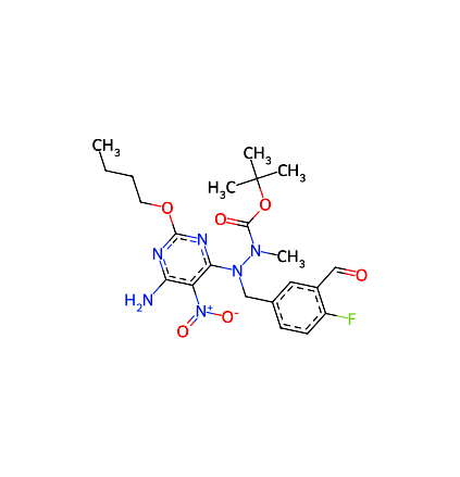 CCCCOc1nc(N)c([N+](=O)[O-])c(N(Cc2ccc(F)c(C=O)c2)N(C)C(=O)OC(C)(C)C)n1